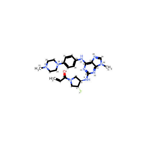 C=CC(=O)N1C[C@@H](F)[C@H](Nc2nc(Nc3ccc(N4CCN(C)CC4)cc3)c3ncn(C)c3n2)C1